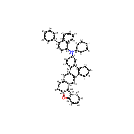 c1ccc(-c2cc(N(c3ccccc3)c3ccc(-c4ccccc4)c4ccccc34)ccc2-c2ccc3c(ccc4oc5ccccc5c43)c2)cc1